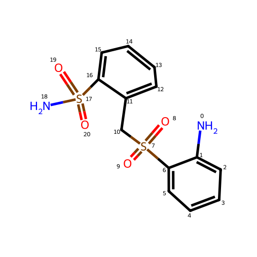 Nc1ccccc1S(=O)(=O)Cc1ccccc1S(N)(=O)=O